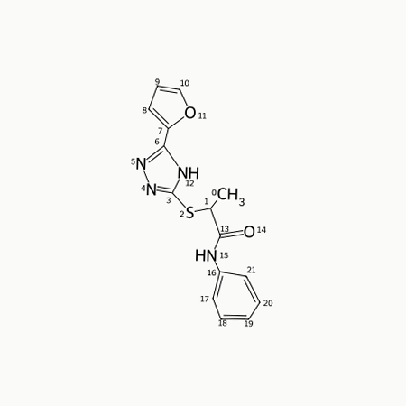 CC(Sc1nnc(-c2ccco2)[nH]1)C(=O)Nc1ccccc1